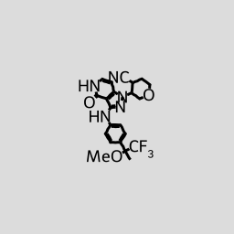 COC(C)(c1ccc(Nc2nn(C3COCCC3C#N)c3cc[nH]c(=O)c23)cc1)C(F)(F)F